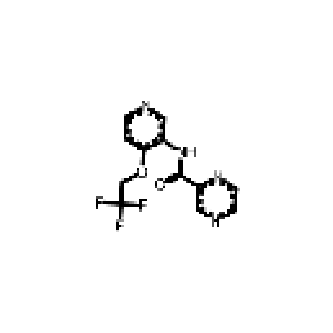 O=C(Nc1cnccc1OCC(F)(F)F)c1cnccn1